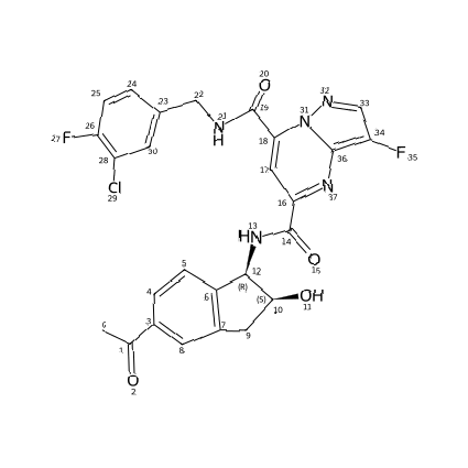 CC(=O)c1ccc2c(c1)C[C@H](O)[C@@H]2NC(=O)c1cc(C(=O)NCc2ccc(F)c(Cl)c2)n2ncc(F)c2n1